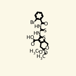 COC1(OC)Cc2c(sc(NC(=S)NC(=O)c3ccccc3Br)c2C(=O)O)CO1